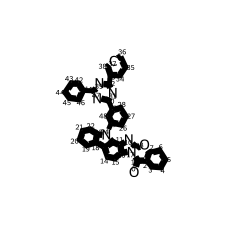 O=c1c2ccccc2oc2nc3c4c(ccc3n12)c1ccccc1n4-c1cccc(-c2nc(-c3ccccc3)nc(-c3ccccc3)n2)c1